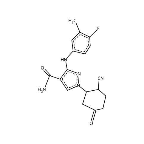 Cc1cc(Nc2nn(C3CC(=O)CCC3C#N)cc2C(N)=O)ccc1F